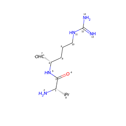 CC(C)[C@H](N)C(=O)N[C@H]([C]=O)CCCNC(=N)N